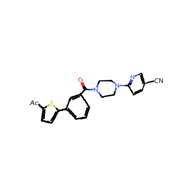 CC(=O)c1ccc(-c2cccc(C(=O)N3CCN(c4ccc(C#N)cn4)CC3)c2)s1